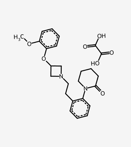 COc1ccccc1OC1CN(CCc2ccccc2N2CCCCC2=O)C1.O=C(O)C(=O)O